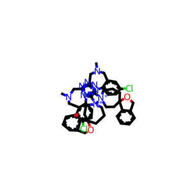 CN1Cc2cc(Cl)ccc2-n2c(nnc2[N+]2([N+]3(c4nnc5n4-c4ccc(Cl)cc4CN(C)C5)CCCC4(CC3)OCc3ccccc34)CCCC3(CC2)OCc2ccccc23)C1